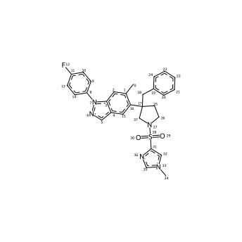 Cc1cc2c(cnn2-c2ccc(F)cc2)cc1C1(Cc2ccccc2)CCN(S(=O)(=O)c2cn(C)cn2)C1